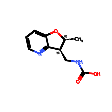 C[C@H]1Oc2cccnc2[C@@H]1CNC(=O)O